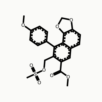 COC(=O)c1cc2ccc3c(c2c(-c2ccc(OC)cc2)c1COS(C)(=O)=O)OCO3